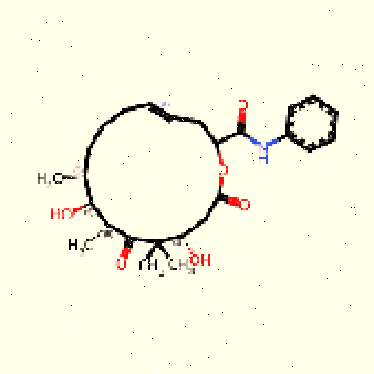 C[C@H]1CCC/C=C/CC(C(=O)Nc2ccccc2)OC(=O)C[C@H](O)C(C)(C)C(=O)[C@H](C)[C@H]1O